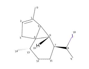 CC1=CCC23C1[C@@H]2[C@@H](C(C)I)CC[C@@H]3C